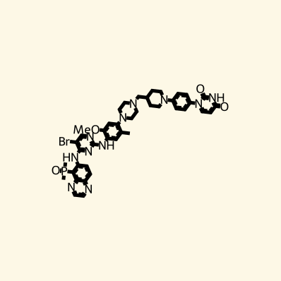 COc1cc(N2CCN(CC3CCN(c4ccc(-n5ccc(=O)[nH]c5=O)cc4)CC3)CC2)c(C)cc1Nc1ncc(Br)c(Nc2ccc3nccnc3c2P(C)(C)=O)n1